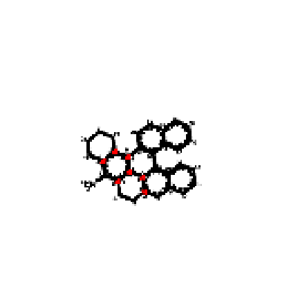 Nc1cccc(-c2ccc3ccccc3c2-c2c(P(C3CCCCC3)C3CCCCC3)ccc3ccccc23)c1